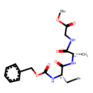 CC(C)C[C@H](NC(=O)OCc1ccccc1)C(=O)N[C@@H](C)C(=O)NCC(=O)OC(C)(C)C